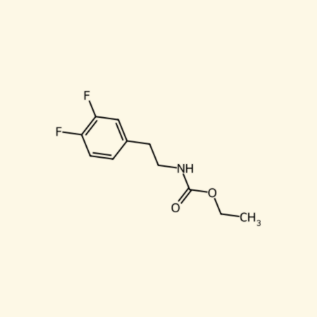 CCOC(=O)NCCc1ccc(F)c(F)c1